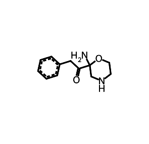 NC1(C(=O)Cc2ccccc2)CNCCO1